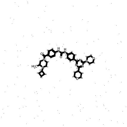 CC1CN(C(=O)c2ccc(NC(=O)Nc3ccc(-c4nc(C5CCOCC5)nc(N5CCOCC5)n4)cc3)cc2)CCN1C1CCC1